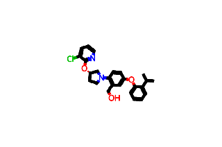 CC(C)c1ccccc1Oc1ccc(N2CC[C@H](Oc3ncccc3Cl)C2)c(CO)c1